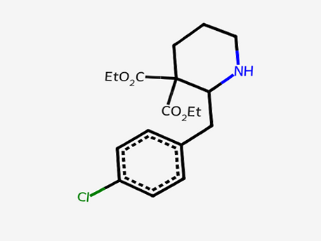 CCOC(=O)C1(C(=O)OCC)CCCNC1Cc1ccc(Cl)cc1